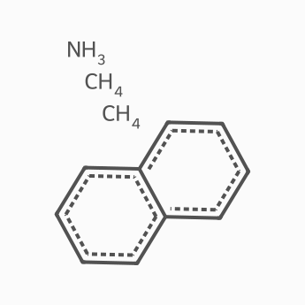 C.C.N.c1ccc2ccccc2c1